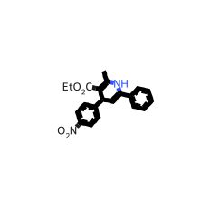 CCOC(=O)C1=C(C)NC(c2ccccc2)=CC1c1ccc([N+](=O)[O-])cc1